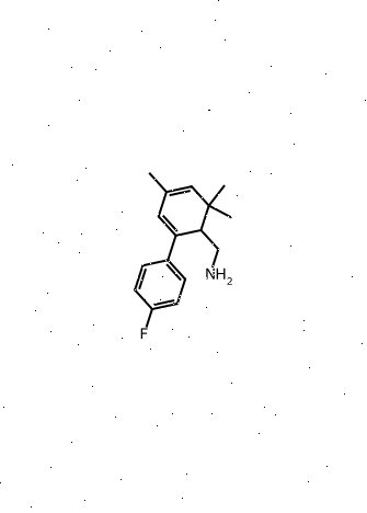 CC1=CC(C)(C)C(CN)C(c2ccc(F)cc2)=C1